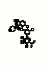 O=c1[nH]c(=O)n(-c2cc(Cl)c(Oc3ccc(O)c(S(=O)(=O)N4CCOCC4)c3)c(Cl)c2)nc1C(F)F